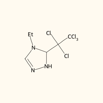 CCN1C=NNC1C(Cl)(Cl)C(Cl)(Cl)Cl